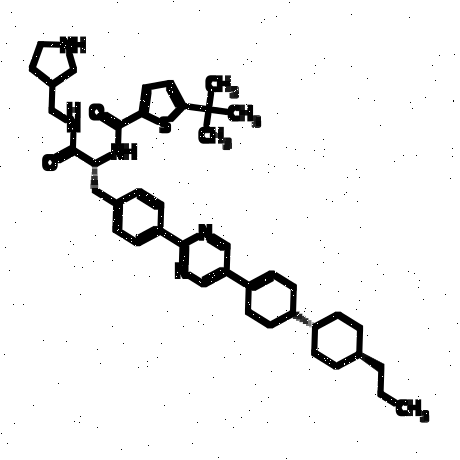 CCC[C@H]1CC[C@H](C2CC=C(c3cnc(-c4ccc(C[C@@H](NC(=O)c5ccc(C(C)(C)C)s5)C(=O)NCC5CCNC5)cc4)nc3)CC2)CC1